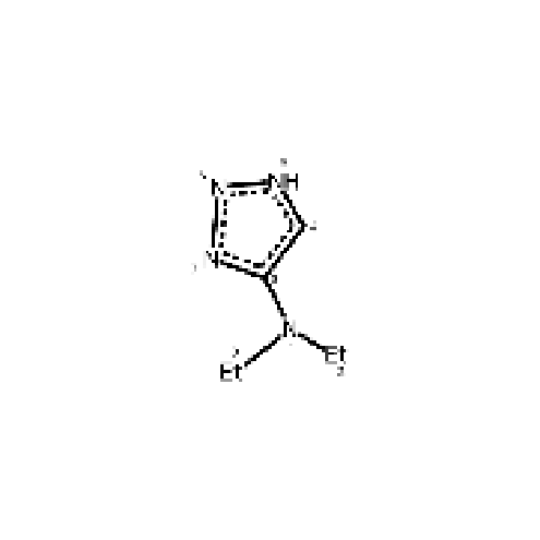 CCN(CC)c1c[nH]nn1